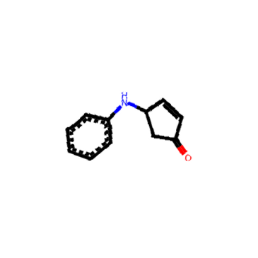 O=C1C=CC(Nc2ccccc2)C1